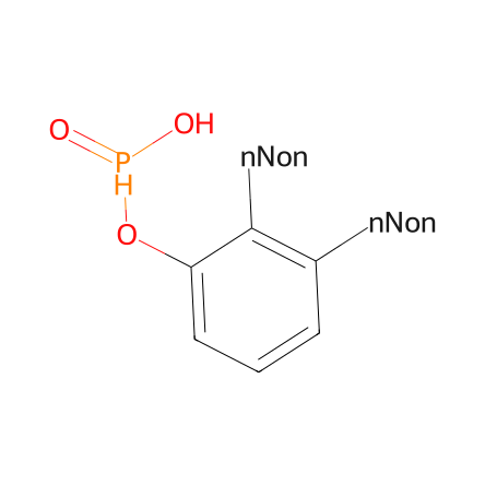 CCCCCCCCCc1cccc(O[PH](=O)O)c1CCCCCCCCC